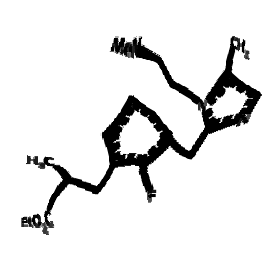 CCOC(=O)C(C)Cc1cccc(Cc2ncc(C)n2CCNC)c1F